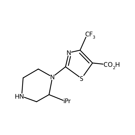 CC(C)C1CNCCN1c1nc(C(F)(F)F)c(C(=O)O)s1